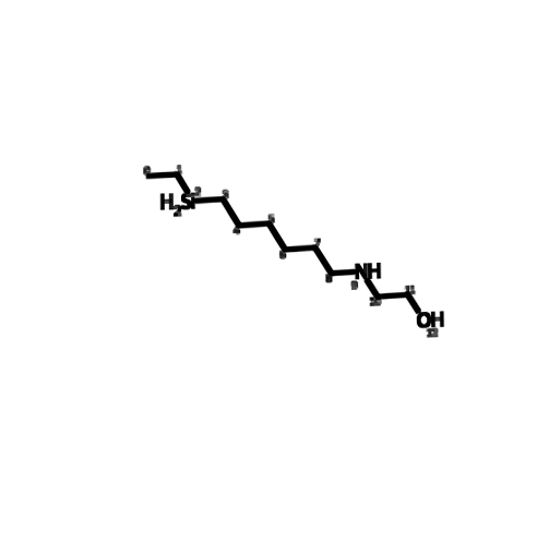 CC[SiH2]CCCCCCNCCO